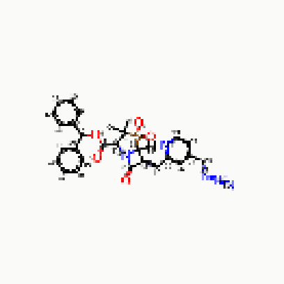 CC1(C)[C@H](C(=O)OC(c2ccccc2)c2ccccc2)N2C(=O)/C(=C/c3cc(CN=[N+]=[N-])ccn3)[C@H]2S1(=O)=O